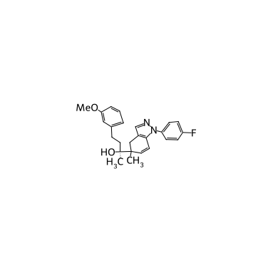 COc1cccc(CC[C@](C)(O)C2(C)C=Cc3c(cnn3-c3ccc(F)cc3)C2)c1